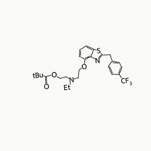 CCN(CCOC(=O)C(C)(C)C)CCOc1cccc2sc(Cc3ccc(C(F)(F)F)cc3)nc12